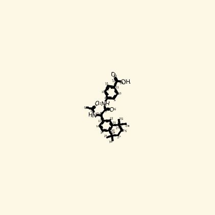 CC(=O)NC(C(=O)Nc1ccc(C(=O)O)cc1)c1ccc2c(c1)C(C)(C)CCC2(C)C